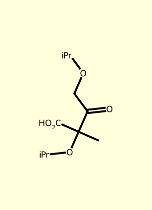 CC(C)OCC(=O)C(C)(OC(C)C)C(=O)O